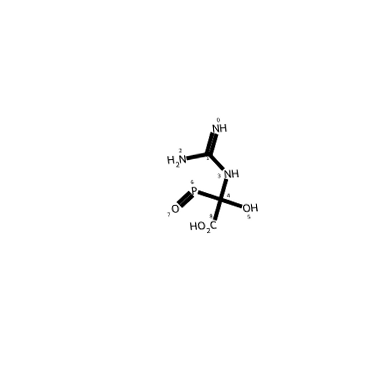 N=C(N)NC(O)(P=O)C(=O)O